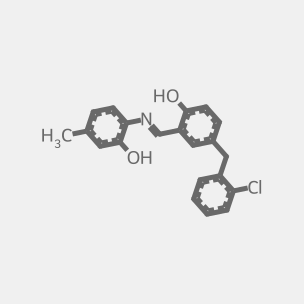 Cc1ccc(N=Cc2cc(Cc3ccccc3Cl)ccc2O)c(O)c1